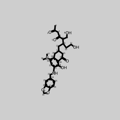 CC(=O)CC(=O)C(CO)C(CCO)CC1CC(=O)c2c(O)c(NCc3ccc4c(c3)OCO4)cc(N(C)C)c2C1